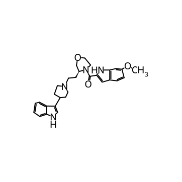 COc1ccc2cc(C(=O)N3CCOC[C@@H]3CCN3CCC(c4c[nH]c5ccccc45)CC3)[nH]c2c1